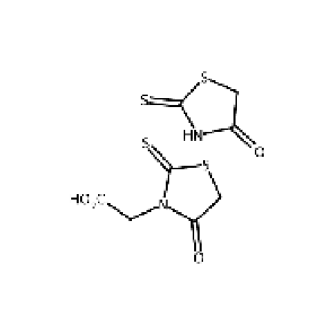 O=C(O)CN1C(=O)CSC1=S.O=C1CSC(=S)N1